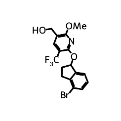 COc1nc(OC2CCc3c(Br)cccc32)c(C(F)(F)F)cc1CO